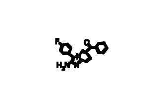 Nc1nc2ccc(C(=O)c3ccccc3)cn2c1-c1ccc(F)cc1